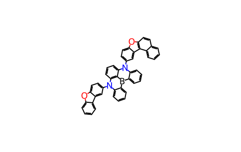 c1ccc2c(c1)B1c3ccccc3N(c3ccc4oc5ccc6ccccc6c5c4c3)c3cccc(c31)N2c1ccc2oc3ccccc3c2c1